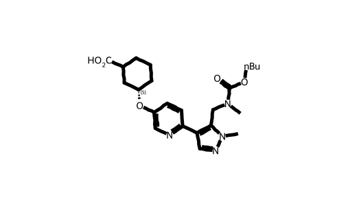 CCCCOC(=O)N(C)Cc1c(-c2ccc(O[C@H]3CCCC(C(=O)O)C3)cn2)cnn1C